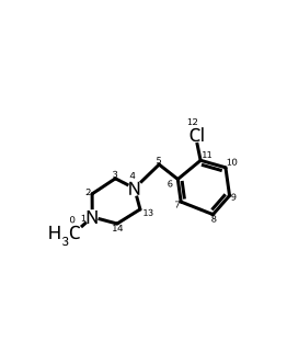 CN1CCN(Cc2ccccc2Cl)CC1